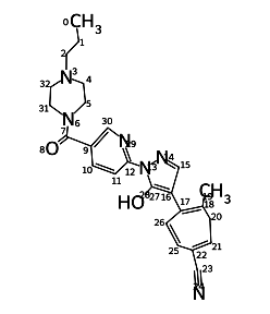 CCCN1CCN(C(=O)c2ccc(-n3ncc(C4=C(C)CC=C(C#N)C=C4)c3O)nc2)CC1